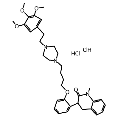 COc1cc(CCN2CCN(CCCCOc3ccccc3C3Cc4ccccc4N(C)C3=O)CC2)cc(OC)c1OC.Cl.Cl